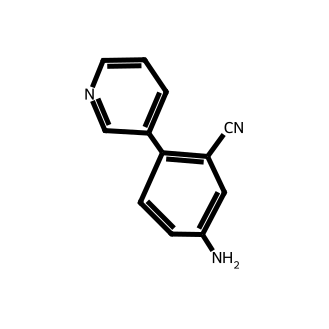 N#Cc1cc(N)ccc1-c1cccnc1